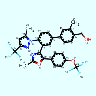 Cc1nc(-c2cc(-c3ccc(CO)c(C)c3)ccc2-n2nc(C(F)(F)F)cc2C)c(-c2ccc(OC(F)(F)F)cc2)o1